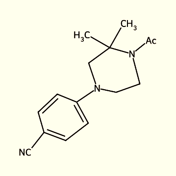 CC(=O)N1CCN(c2ccc(C#N)cc2)CC1(C)C